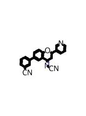 N#C/N=C1\CC(c2cccnc2)Oc2ccc(-c3cccc(C#N)c3)cc21